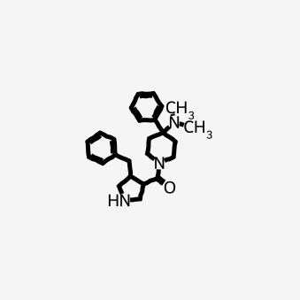 CN(C)C1(c2ccccc2)CCN(C(=O)C2CNCC2Cc2ccccc2)CC1